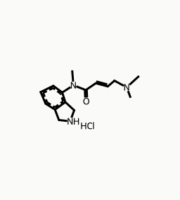 CN(C)C/C=C/C(=O)N(C)c1cccc2c1CNC2.Cl